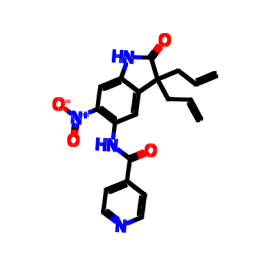 C=CCC1(CC=C)C(=O)Nc2cc([N+](=O)[O-])c(NC(=O)c3ccncc3)cc21